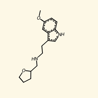 COc1ccc2[nH]cc(CCNCC3CCCO3)c2c1